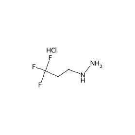 Cl.NNCCC(F)(F)F